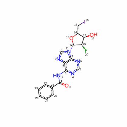 O=C(Nc1ncnc2c1ncn2[C@@H]1O[C@H](CI)[C@@H](O)[C@H]1F)c1ccccc1